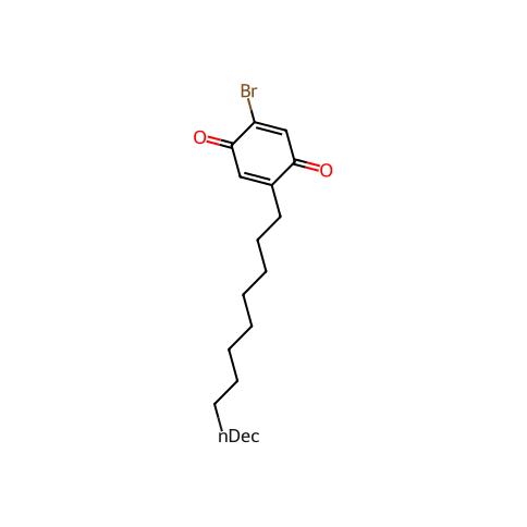 CCCCCCCCCCCCCCCCCCC1=CC(=O)C(Br)=CC1=O